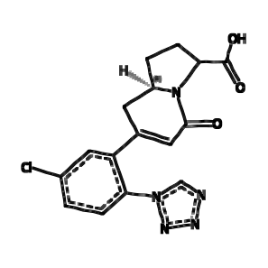 O=C(O)C1CC[C@@H]2CC(c3cc(Cl)ccc3-n3cnnn3)=CC(=O)N12